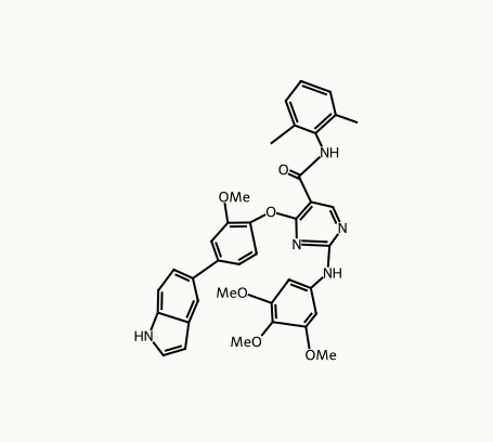 COc1cc(-c2ccc3[nH]ccc3c2)ccc1Oc1nc(Nc2cc(OC)c(OC)c(OC)c2)ncc1C(=O)Nc1c(C)cccc1C